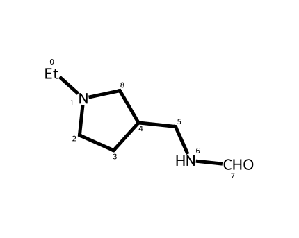 CCN1CCC(CNC=O)C1